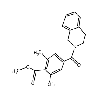 COC(=O)c1c(C)cc(C(=O)N2CCc3ccccc3C2)cc1C